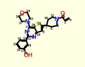 C=CC(=O)N1CCC(c2cc3nc(-c4cccc(O)c4)nc(N4CCOCC4)c3s2)CC1